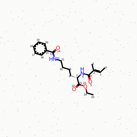 C/C=C(\C)C(=O)N[C@@H](CCCCNC(=O)c1ccccc1)C(=O)OCC